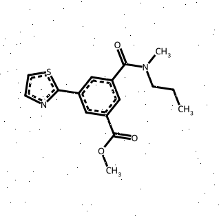 CCCN(C)C(=O)c1cc(C(=O)OC)cc(-c2nccs2)c1